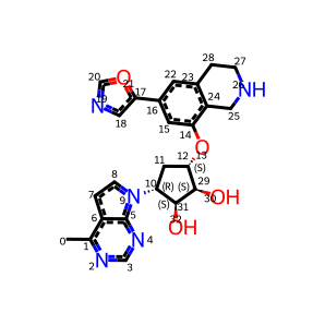 Cc1ncnc2c1ccn2[C@@H]1C[C@H](Oc2cc(-c3cnco3)cc3c2CNCC3)[C@@H](O)[C@H]1O